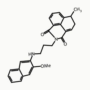 COc1cc2ccccc2cc1NCCCN1C(=O)C2=CCC(C)c3cccc(c32)C1=O